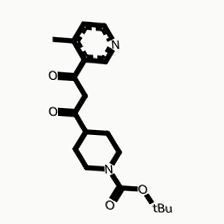 Cc1ccncc1C(=O)CC(=O)C1CCN(C(=O)OC(C)(C)C)CC1